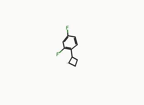 Fc1ccc(C2[CH]CC2)c(F)c1